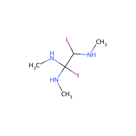 CNC(I)C(I)(NC)NC